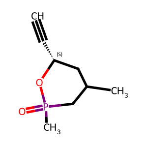 C#C[C@@H]1CC(C)CP(C)(=O)O1